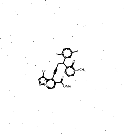 COC(=O)c1ccn2ncc(Br)c2c1C#CCC(c1cc(F)ccc1F)c1cccn(C)c1=O